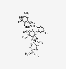 COc1ccc(F)cc1-c1cc(C(=O)NCc2c(SC)cc(C)[nH]c2=O)c(C)c2c1OC(C)(C1CCC(N(C)C)CC1)O2